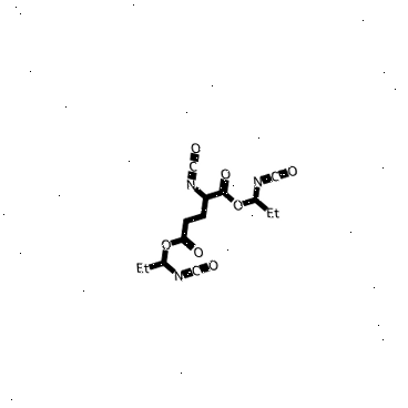 CCC(N=C=O)OC(=O)CCC(N=C=O)C(=O)OC(CC)N=C=O